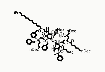 CCCCCCCCCCCCCCCC(=O)O[C@@H](CC(=O)N[C@H]1[C@H](OC[C@H]2O[C@@H](O[Si](C)(C)CCCCCC)[C@H](NC(=O)C[C@@H](CCCCCCCCCCCC(C)C)OCc3ccccc3)[C@@H](OC(=O)C[C@@H](CCCCCCCCCCCCC)OCc3ccccc3)[C@@H]2OCc2ccccc2)O[C@@H]2COC(c3ccccc3)O[C@H]2[C@@H]1OC(=O)CCC(C)=O)CC(C)CCCCCCCCCCC